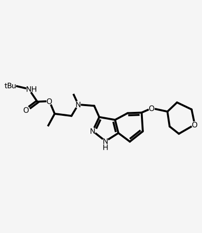 CC(CN(C)Cc1n[nH]c2ccc(OC3CCOCC3)cc12)OC(=O)NC(C)(C)C